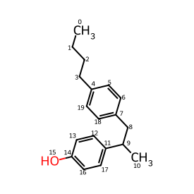 CCCCc1ccc(CC(C)c2ccc(O)cc2)cc1